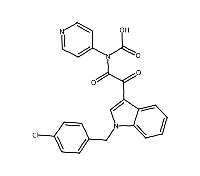 O=C(C(=O)N(C(=O)O)c1ccncc1)c1cn(Cc2ccc(Cl)cc2)c2ccccc12